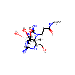 CONC(=O)CCN1C(=N)N[C@@]23[C@@H]1[C@H](CO)NC(=N)N2C[C@H](O)C3(O)O